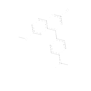 COc1ccc2oc(=O)cc(-c3ccc(N(C)C)cc3)c2c1